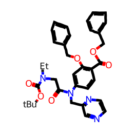 CCN(CC(=O)N(Cc1cnccn1)c1ccc(C(=O)OCc2ccccc2)c(OCc2ccccc2)c1)C(=O)OC(C)(C)C